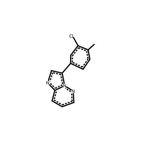 Cc1ccc(-c2cnc3cccnn23)cc1Cl